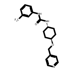 O=C(Nc1cccc(C(F)(F)F)c1)N[C@H]1CC[C@H](OCc2ccncc2)CC1